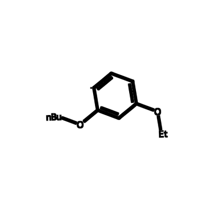 CCCCOc1[c]ccc(OCC)c1